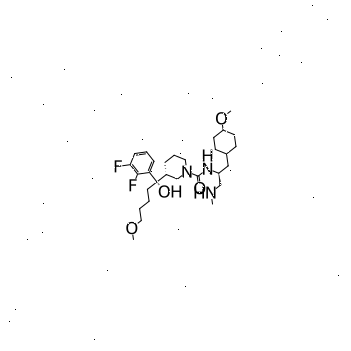 CNC[C@H](CC1CCC(OC)CC1)NC(=O)N1CCC[C@@H]([C@@](O)(CCCCOC)c2cccc(F)c2F)C1